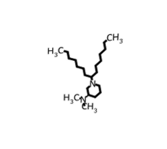 CCCCCCCC(CCCCCCC)N1CCC[C@@H](N(C)C)C1